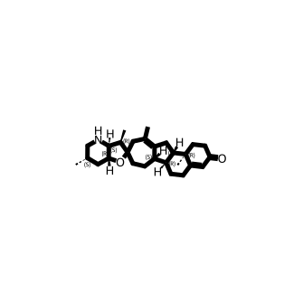 CC1=C2C[C@H]3[C@@H](CCC4=CC(=O)CC[C@@]43C)[C@@H]2CCC2(C1)O[C@@H]1C[C@H](C)CN[C@H]1[C@H]2C